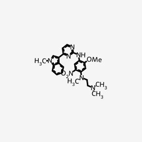 COc1cc(N(C)CCN(C)C)c([N+](=O)[O-])cc1Nc1nccc(-c2cn(C)c3ccccc23)n1